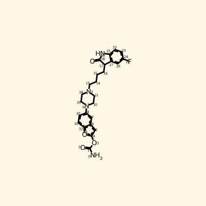 NC(=O)Oc1cc2cc(N3CCN(CCCCC4C(=O)Nc5ccc(F)cc54)CC3)ccc2o1